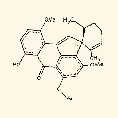 CCCCOc1cc(OC)c2c3c1C(=O)c1c(O)ccc(OC)c1C3=C[C@]21C(C)=CCCC1C